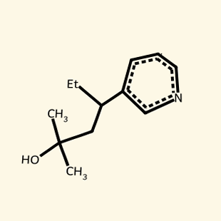 CCC(CC(C)(C)O)c1c[c]cnc1